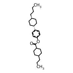 CCCC[C@H]1CC[C@H](c2ccc(OC(=O)C3CCC(CCC)CC3)cc2)CC1